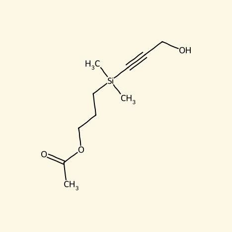 CC(=O)OCCC[Si](C)(C)C#CCO